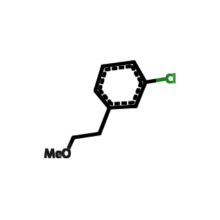 COCCc1cccc(Cl)c1